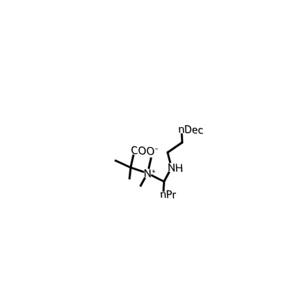 CCCCCCCCCCCCNC(CCC)[N+](C)(C)C(C)(C)C(=O)[O-]